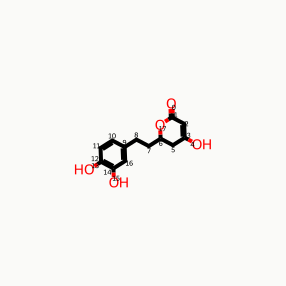 O=C1C=C(O)CC(CCc2ccc(O)c(O)c2)O1